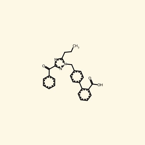 CCCc1nc(C(=O)c2ccccc2)nn1Cc1ccc(-c2ccccc2C(=O)O)cc1